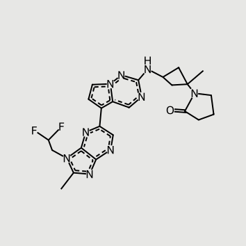 Cc1nc2ncc(-c3ccn4nc(NC5CC(C)(N6CCCC6=O)C5)ncc34)nc2n1CC(F)F